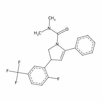 CN(C)C(=O)N1CC(c2cc(C(F)(F)F)ccc2F)C=C1c1ccccc1